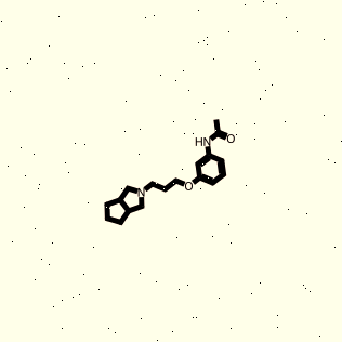 CC(=O)Nc1cccc(OCCCN2CC3CCCC3C2)c1